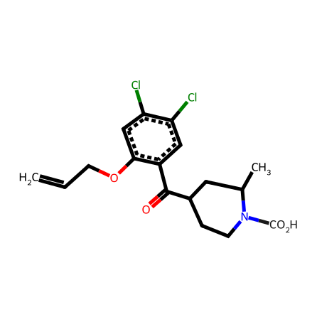 C=CCOc1cc(Cl)c(Cl)cc1C(=O)C1CCN(C(=O)O)C(C)C1